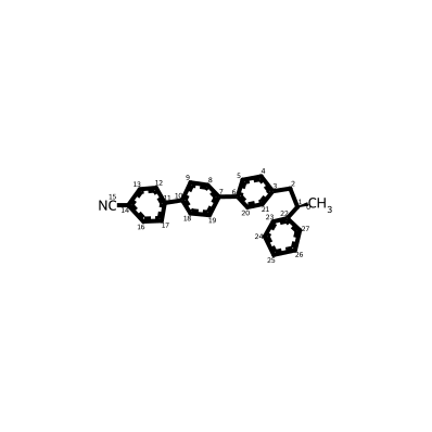 C[C@H](Cc1ccc(-c2ccc(-c3ccc(C#N)cc3)cc2)cc1)c1ccccc1